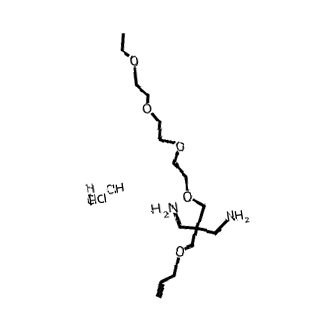 C=CCOCC(CN)(CN)COCCOCCOCCOCC.Cl.Cl.Cl